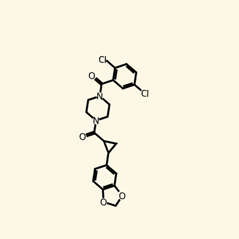 O=C(c1cc(Cl)ccc1Cl)N1CCN(C(=O)C2CC2c2ccc3c(c2)OCO3)CC1